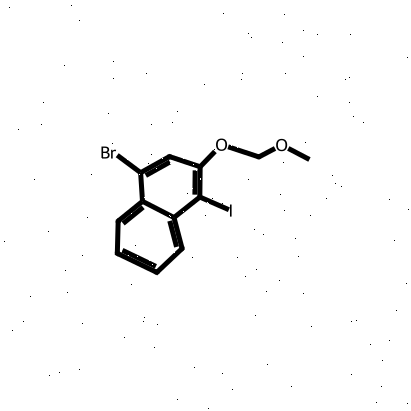 COCOc1cc(Br)c2ccccc2c1I